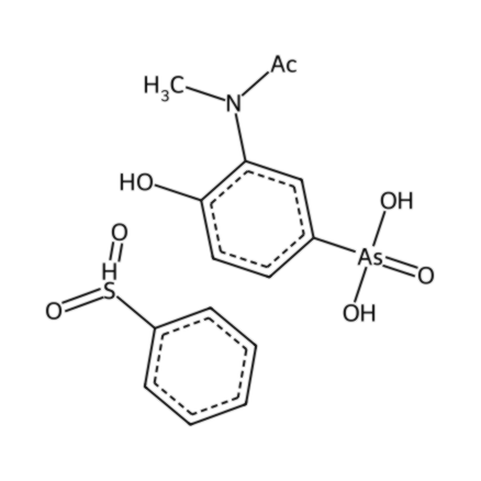 CC(=O)N(C)c1cc([As](=O)(O)O)ccc1O.O=[SH](=O)c1ccccc1